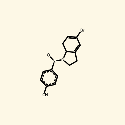 N#Cc1ccc([S+]([O-])N2CCC3=CC(Br)=CCC32)cc1